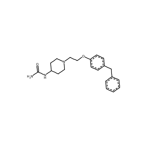 NC(=O)NC1CCN(CCOc2ccc(Cc3ccccc3)cc2)CC1